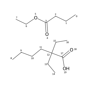 CCCC(=O)OCC.CCCCC(CC)(CC)C(=O)O